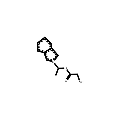 CC(=O)CC(=O)OC(C)n1cc2ccccc2c1